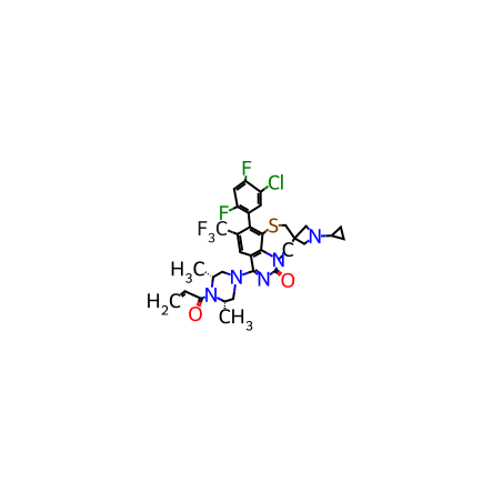 C=CC(=O)N1[C@H](C)CN(c2nc(=O)n3c4c(c(-c5cc(Cl)c(F)cc5F)c(C(F)(F)F)cc24)SCC2(CN(C4CC4)C2)C3)C[C@@H]1C